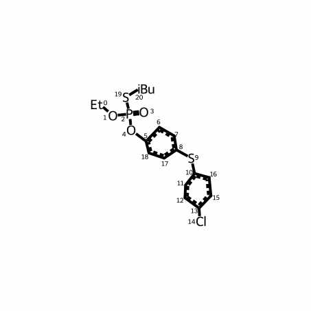 CCOP(=O)(Oc1ccc(Sc2ccc(Cl)cc2)cc1)SC(C)CC